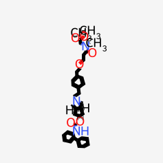 COC(CN(C)C(=O)CCOCCc1ccc(CCN2C[C@H]3C[C@@H](OC(=O)Nc4ccccc4-c4ccccc4)C[C@H]3C2)cc1)OC